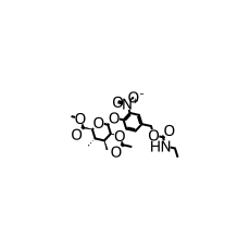 CCNC(=O)OCc1ccc(O[C@@H]2O[C@H](C(=O)OC)[C@@H](C)[C@H](C)[C@H]2OC(C)=O)c([N+](=O)[O-])c1